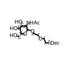 CCCCCCCCCCCCOCCOC1O[C@H](CO)[C@@H](O)[C@H](O)[C@H]1NC(C)=O